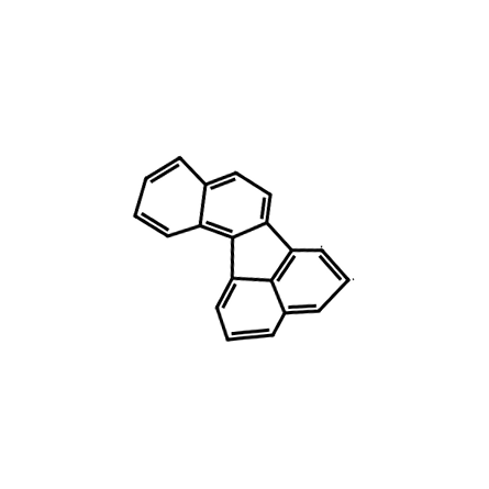 [c]1[c]c2c3c(cccc3c1)-c1c-2ccc2ccccc12